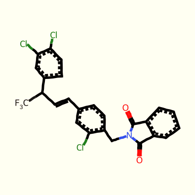 O=C1c2ccccc2C(=O)N1Cc1ccc(/C=C/C(c2ccc(Cl)c(Cl)c2)C(F)(F)F)cc1Cl